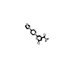 CN(C)C(=O)c1cc(Cl)nc(N2CCC(n3ccnc3)CC2)c1